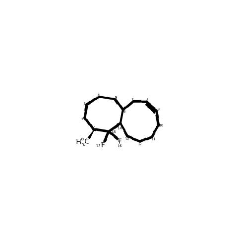 C[C@H]1CCCCC2C/C=C\CCCCC2C1(F)F